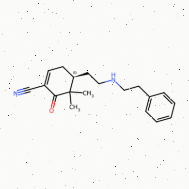 CC1(C)C(=O)C(C#N)=CC[C@H]1CCNCCc1ccccc1